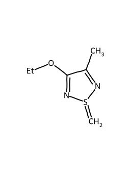 C=S1N=C(C)C(OCC)=N1